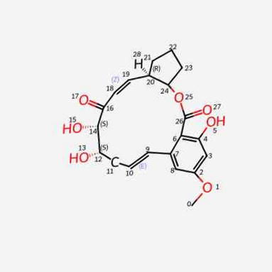 COc1cc(O)c2c(c1)/C=C/C[C@H](O)[C@H](O)C(=O)/C=C\[C@H]1CCCC1OC2=O